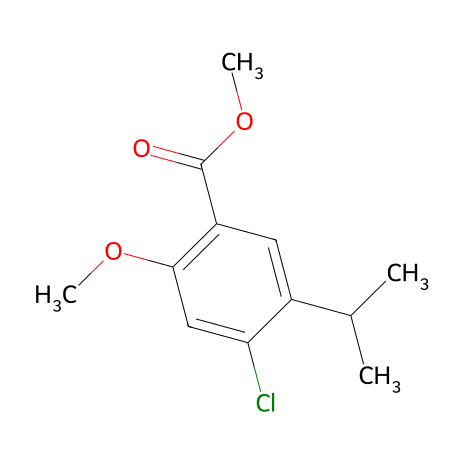 COC(=O)c1cc(C(C)C)c(Cl)cc1OC